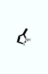 C=C1C=CSN1